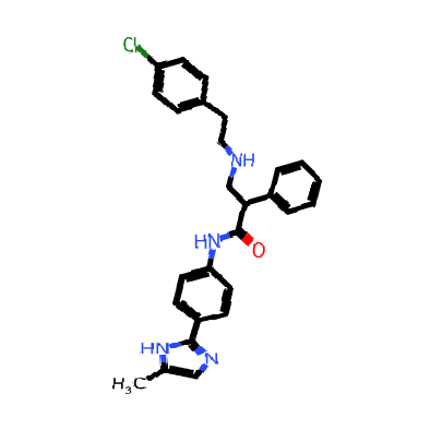 Cc1cnc(-c2ccc(NC(=O)C(CNCCc3ccc(Cl)cc3)c3ccccc3)cc2)[nH]1